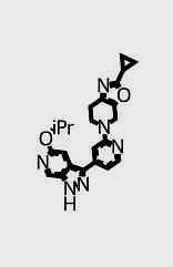 CC(C)Oc1cc2c(-c3ccnc(N4CCc5nc(C6CC6)oc5C4)c3)n[nH]c2cn1